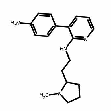 CN1CCCC1CCNc1ncccc1-c1ccc(N)cc1